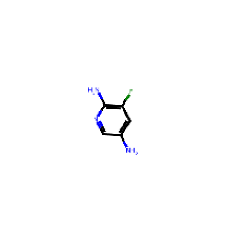 Nc1cnc(N)c(F)c1